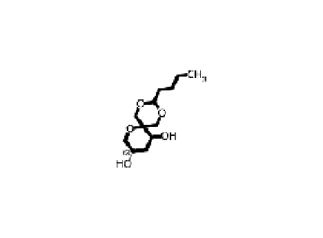 CCCCC1OCC2(CO1)OC[C@@H](O)CC2O